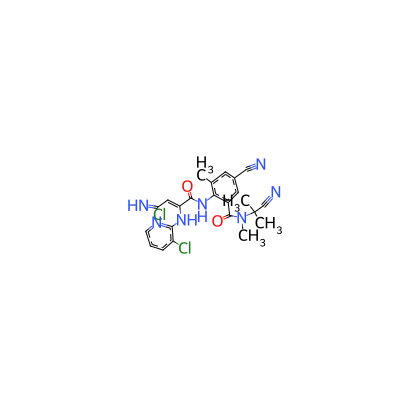 Cc1cc(C#N)cc(C(=O)N(C)C(C)(C)C#N)c1NC(=O)/C(=C/C(=N)Cl)Nc1ncccc1Cl